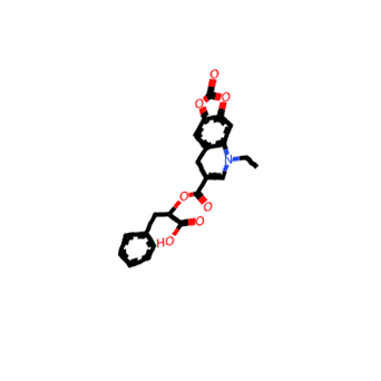 CCN1C=C(C(=O)OC(Cc2ccccc2)C(=O)O)Cc2cc3oc(=O)oc3cc21